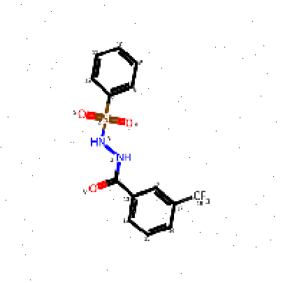 O=C(NNS(=O)(=O)c1ccccc1)c1cccc(C(F)(F)F)c1